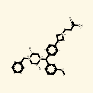 COc1cccc(C(c2ccc(C3CN(CCC(=O)O)C3)cc2)N2C[C@@H](C)N(Cc3ccccc3)C[C@H]2C)c1